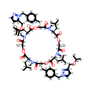 CC(C)C[C@H]1C(=O)O[C@H](Cc2ccc(Cn3nccc3COC(C)C)cc2)C(=O)N(C)[C@@H](CC(C)C)C(=O)O[C@H](C)C(=O)N(C)[C@@H](CC(C)C)C(=O)O[C@H](Cc2ccc(Cn3ccc(COC(C)C)n3)cc2)C(=O)N(C)[C@@H](CC(C)C)C(=O)O[C@H](C)C(=O)N1C